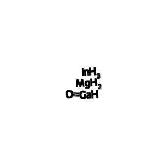 [InH3].[MgH2].[O]=[GaH]